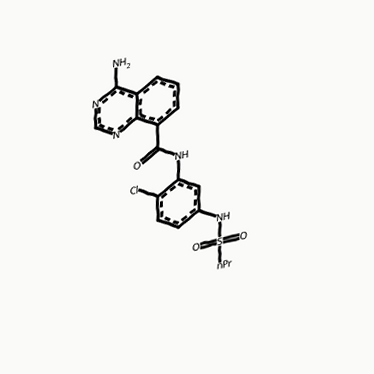 CCCS(=O)(=O)Nc1ccc(Cl)c(NC(=O)c2cccc3c(N)ncnc23)c1